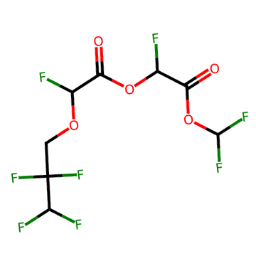 O=C(OC(F)C(=O)OC(F)F)C(F)OCC(F)(F)C(F)F